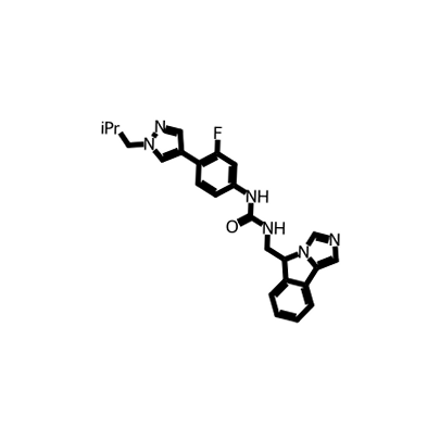 CC(C)Cn1cc(-c2ccc(NC(=O)NCC3c4ccccc4-c4cncn43)cc2F)cn1